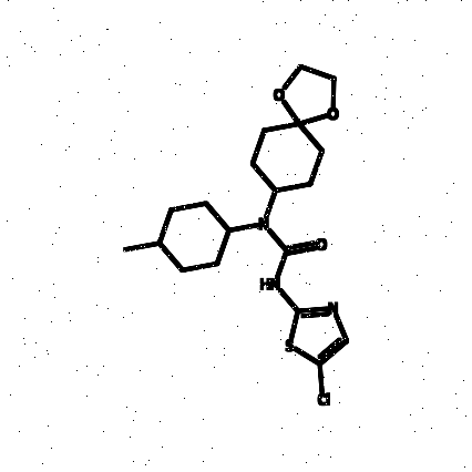 CC1CCC(N(C(=O)Nc2ncc(Cl)s2)C2CCC3(CC2)OCCO3)CC1